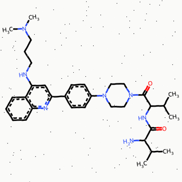 CC(C)C(N)C(=O)NC(C(=O)N1CCN(c2ccc(-c3cc(NCCCN(C)C)c4ccccc4n3)cc2)CC1)C(C)C